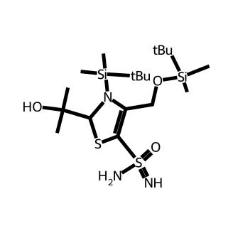 CC(C)(O)C1SC(S(=N)(N)=O)=C(CO[Si](C)(C)C(C)(C)C)N1[Si](C)(C)C(C)(C)C